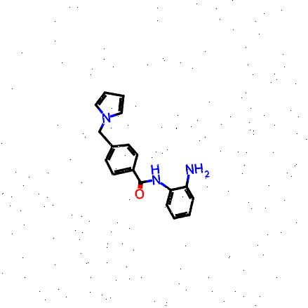 Nc1ccccc1NC(=O)c1ccc(Cn2cccc2)cc1